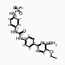 CCOc1cnc(-c2ccc(NC(=O)Nc3ccc(NS(C)(=O)=O)cc3)cc2)nc1N